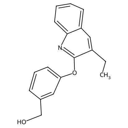 CCc1cc2ccccc2nc1Oc1cccc(CO)c1